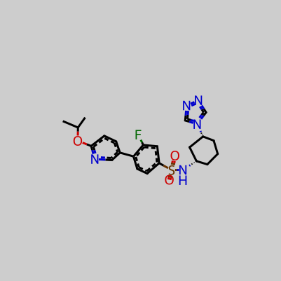 CC(C)Oc1ccc(-c2ccc(S(=O)(=O)N[C@H]3CCC[C@@H](n4cnnc4)C3)cc2F)cn1